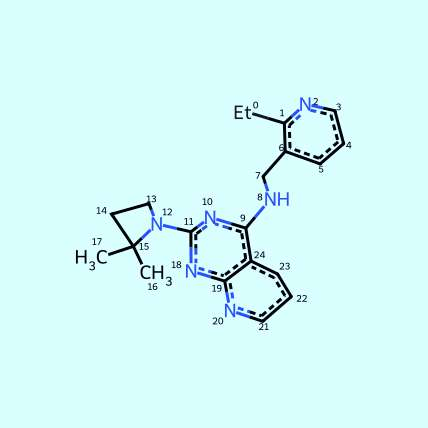 CCc1ncccc1CNc1nc(N2CCC2(C)C)nc2ncccc12